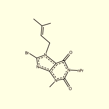 CCCn1c(=O)c2c(nc(Br)n2CC=C(C)C)n(C)c1=O